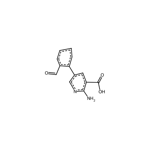 Nc1ncc(-c2ccccc2C=O)cc1C(=O)O